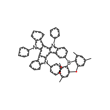 Cc1cc(C)c(B(c2ccc3c(c2)c2c4c(c5ccccc5n4-c4ccccc4)c4c(c5ccccc5n4-c4ccccc4)c2n3-c2ccccc2)c2c(C)cc(C)cc2C)c(C)c1